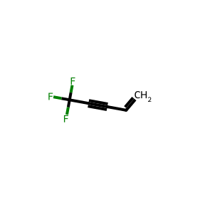 C=CC#CC(F)(F)F